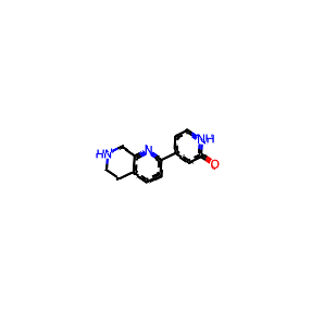 O=c1cc(-c2ccc3c(n2)CNCC3)cc[nH]1